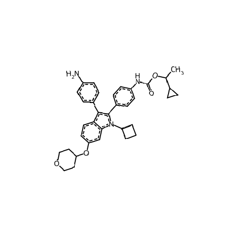 CC(OC(=O)Nc1ccc(-c2c(-c3ccc(N)cc3)c3ccc(OC4CCOCC4)cc3n2C2CCC2)cc1)C1CC1